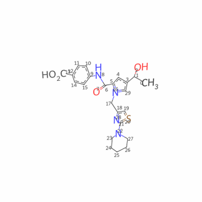 CC(O)c1cc(C(=O)Nc2ccc(C(=O)O)cc2)n(Cc2csc(N3CCCCC3)n2)c1